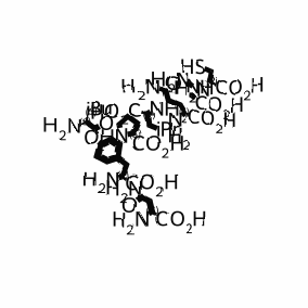 CC(C)C[C@H](N)C(=O)O.CC[C@H](C)[C@H](N)C(=O)Oc1ccc(C[C@H](N)C(=O)O)cc1.NC(=O)CC[C@H](N)C(=O)O.NC(=O)C[C@H](N)C(=O)O.NNCC(=O)O.N[C@@H](CS)C(=O)O.O=C(O)[C@@H]1CCCN1